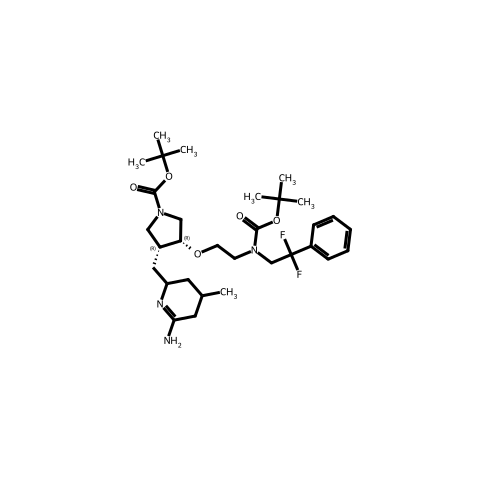 CC1CC(N)=NC(C[C@@H]2CN(C(=O)OC(C)(C)C)C[C@@H]2OCCN(CC(F)(F)c2ccccc2)C(=O)OC(C)(C)C)C1